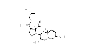 CC(CCC(=O)O)C1CCC2C3C(O)CC4CC(N)CCC4(C)C3CC(O)C12C